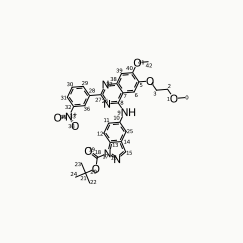 COCCOc1cc2c(Nc3ccc4c(cnn4C(=O)OC(C)(C)C)c3)nc(-c3cccc([N+](=O)[O-])c3)nc2cc1OC